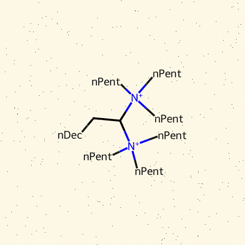 CCCCCCCCCCCC([N+](CCCCC)(CCCCC)CCCCC)[N+](CCCCC)(CCCCC)CCCCC